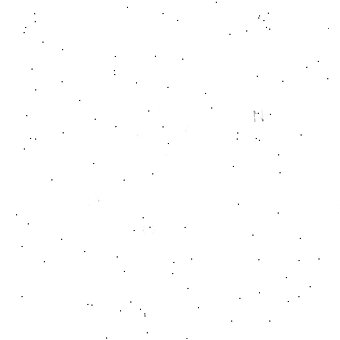 COC(=O)C1CC2(C#N)CC1C2